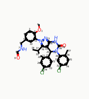 COc1ccc(CNC=O)cc1-n1nc2c(c1C(C)C)C(c1ccc(Cl)cc1C)N(c1cc(Cl)ccc1C)C(=O)N2